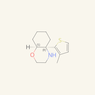 Cc1ccsc1[C@@]12CCCC[C@@H]1OCCN2